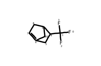 FC(F)(F)C1CC2=CCC1C2